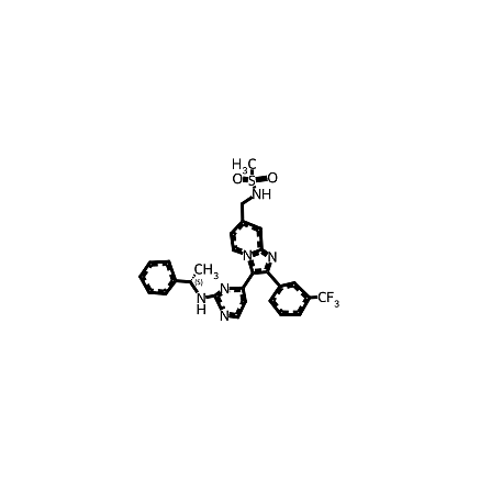 C[C@H](Nc1nccc(-c2c(-c3cccc(C(F)(F)F)c3)nc3cc(CNS(C)(=O)=O)ccn23)n1)c1ccccc1